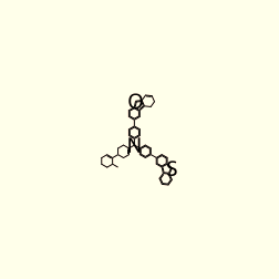 CC1CCCC=C1C1CC=C(N(c2ccc(-c3ccc4oc5c(c4c3)CCC=C5)cc2)c2ccc(-c3ccc4sc5ccccc5c4c3)cc2)CC1